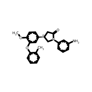 COc1ccc([C@H]2CC(=O)N(c3cccc(N)c3)C2)cc1Oc1ccccc1C